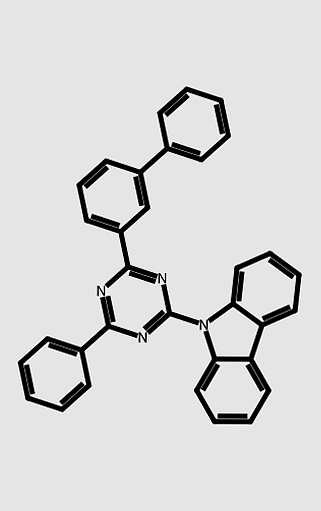 c1ccc(-c2cccc(-c3nc(-c4ccccc4)nc(-n4c5ccccc5c5ccccc54)n3)c2)cc1